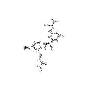 CNC(=O)COc1cc(Cl)cc(C(=O)NCc2ccc(C#N)cc2OCC(=O)NC)c1